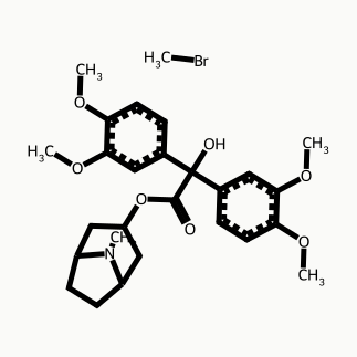 CBr.COc1ccc(C(O)(C(=O)OC2CC3CCC(C2)N3C)c2ccc(OC)c(OC)c2)cc1OC